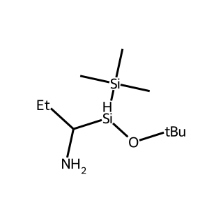 CCC(N)[SiH](OC(C)(C)C)[Si](C)(C)C